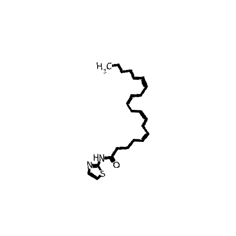 CCCCC/C=C\C/C=C\C/C=C\C/C=C\CCCC(=O)Nc1nccs1